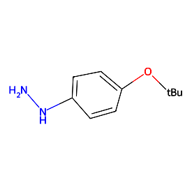 CC(C)(C)Oc1ccc(NN)cc1